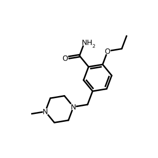 CCOc1ccc(CN2CCN(C)CC2)cc1C(N)=O